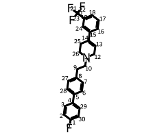 Fc1ccc(-c2ccc(CCN3CC=C(c4cccc(C(F)(F)F)c4)CC3)cc2)cc1